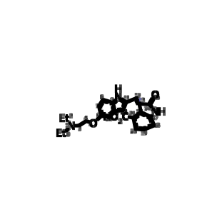 CCN(CC)CCOc1ccc2[nH]c(/C=C3/C(=O)Nc4cccc(C(=O)O)c43)cc2c1